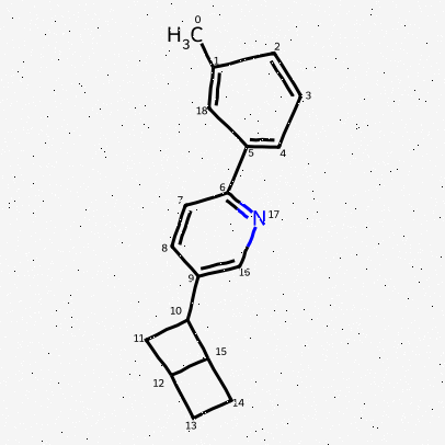 Cc1cccc(-c2ccc(C3CC4CCC43)cn2)c1